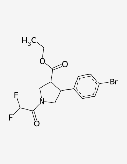 CCOC(=O)C1CN(C(=O)C(F)F)CC1c1ccc(Br)cc1